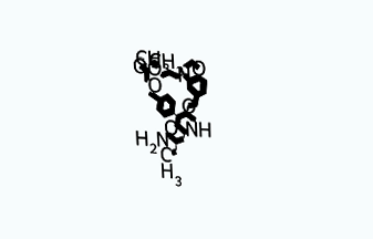 CC[C@@H](C[C@@H]1C[C@H](c2ccc(COCCOC)cc2)[C@@H](OCc2ccc3c(c2)N(CCCOC)CCO3)CN1)C(N)=O